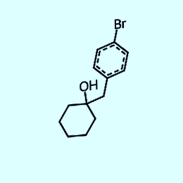 OC1(Cc2ccc(Br)cc2)CCCCC1